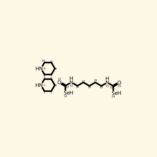 C1CCNCC1.C1CCNCC1.O=C([SeH])NCCCCCNC(=O)[SeH]